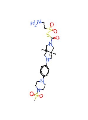 C[C@@]12CN(C(=O)SS(=O)(=O)CCN)C[C@]1(C)CN(c1ccc(N3CCN(S(C)(=O)=O)CC3)cc1)C2